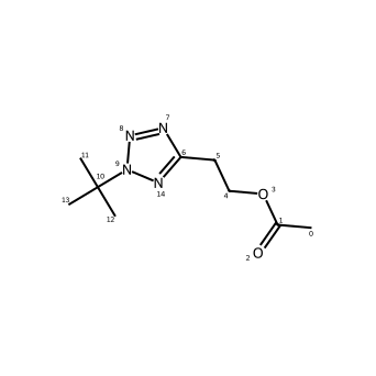 CC(=O)OCCc1nnn(C(C)(C)C)n1